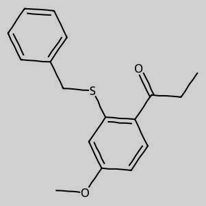 CCC(=O)c1ccc(OC)cc1SCc1ccccc1